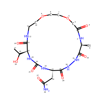 CC[C@@H]1NC(=O)COCCOCCNC(=O)[C@H](C(C)O)NC(=O)N[C@@H](CC(N)=O)C(=O)NNC1=O